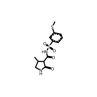 CSc1cccc(S(=O)(=O)NC(=O)C2C(=O)NCC2C)c1